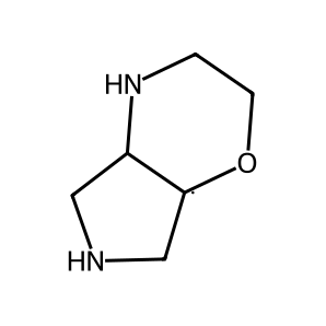 C1CO[C]2CNCC2N1